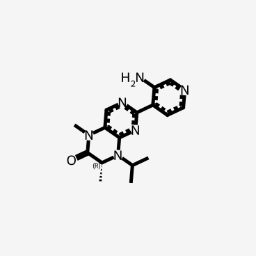 CC(C)N1c2nc(-c3ccncc3N)ncc2N(C)C(=O)[C@H]1C